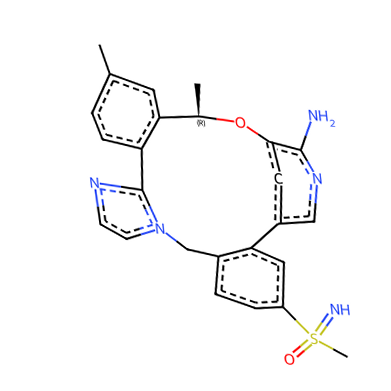 Cc1ccc2c(c1)[C@@H](C)Oc1cc(cnc1N)-c1cc(S(C)(=N)=O)ccc1Cn1ccnc1-2